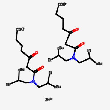 CCCCC(CC)CN(CC(CC)CCCC)C(=O)CC(=O)CCCC(=O)[O-].CCCCC(CC)CN(CC(CC)CCCC)C(=O)CC(=O)CCCC(=O)[O-].[Zn+2]